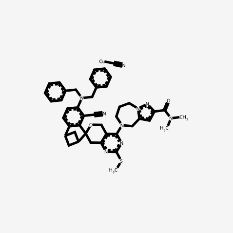 CSc1nc2c(c(N3CCCn4nc(C(=O)N(C)C)cc4C3)n1)COC1(C2)c2c(ccc(N(Cc3ccccc3)Cc3ccccc3)c2C#N)C2CC1C2.N#[C][Cu]